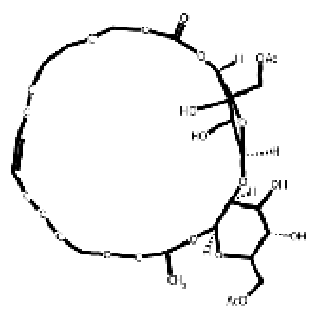 CC(=O)OCC1O[C@H]2OC(C)CCCCCC/C=C\CCCCCCCC(=O)O[C@@H]3C(COC(C)=O)O[C@@H](O[C@H]2C(O)[C@@H]1O)C(O)C3O